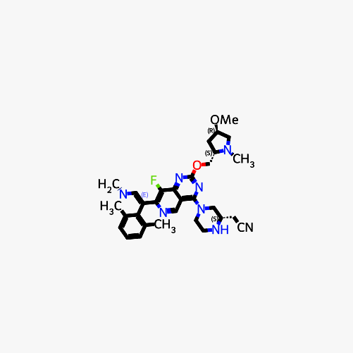 C=N/C=C(/c1ncc2c(N3CCN[C@@H](CC#N)C3)nc(OC[C@@H]3C[C@@H](OC)CN3C)nc2c1F)c1c(C)cccc1C